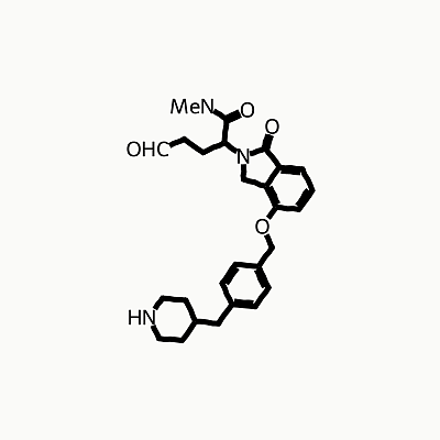 CNC(=O)C(CCC=O)N1Cc2c(OCc3ccc(CC4CCNCC4)cc3)cccc2C1=O